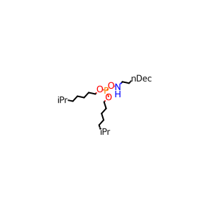 CCCCCCCCCCCCNOP(OCCCCCC(C)C)OCCCCCC(C)C